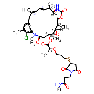 CCNC(=O)CCN1C(=O)CC(SCCCO[C@@H](C)C(=O)O[C@H]2CC(=O)N(C)c3cc(cc(C)c3Cl)C/C(C)=C/C=C/[C@@H](C)[C@@]3(O)CC(OC(=O)N3)[C@@H](C)[C@@H]3O[C@@]23C)C1=O